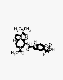 CC(=O)N1CC[C@H]2CC[C@@H](C(=O)N(C)C)N2C(=O)C(NC(=O)c2cc3cc(C(F)(F)P(=O)(O)O)ccc3[nH]2)C1